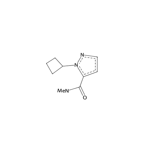 CNC(=O)c1ccnn1C1CCC1